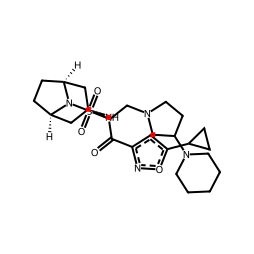 O=C(N[C@H]1C[C@H]2CC[C@@H](C1)N2S(=O)(=O)CCN1CCC(N2CCCCC2)C1)c1cc(C2CC2)on1